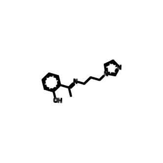 CC(=NCCCn1ccnc1)c1ccccc1O